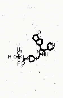 CC(C)(C)OC(=O)N1CCN(Cc2nc(-c3ccc4c(c3)CCC4=O)c(-c3ccncc3)[nH]2)CC1